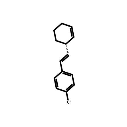 Clc1ccc(/C=C/[C@H]2C=CCCC2)cc1